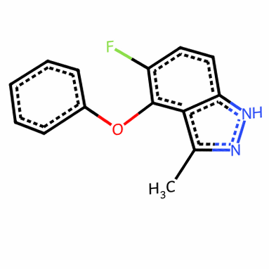 Cc1n[nH]c2ccc(F)c(Oc3ccccc3)c12